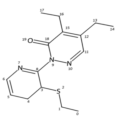 CCSC1CC=CN=C1n1ncc(CC)c(CC)c1=O